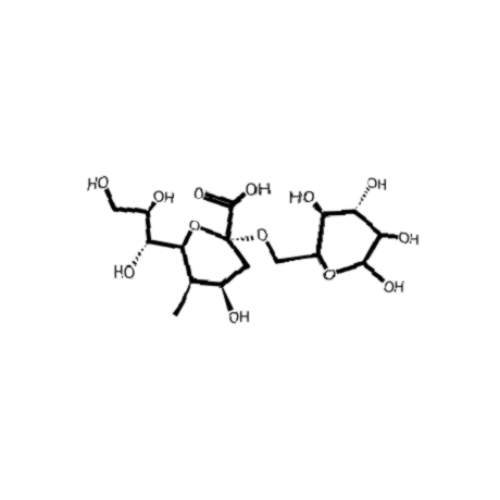 C[C@H]1C([C@H](O)[C@H](O)CO)O[C@@](OCC2OC(O)C(O)[C@@H](O)[C@@H]2O)(C(=O)O)C[C@H]1O